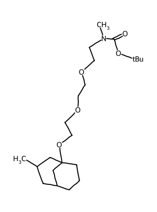 CC1CC2CCCC(OCCOCCOCCN(C)C(=O)OC(C)(C)C)(C1)C2